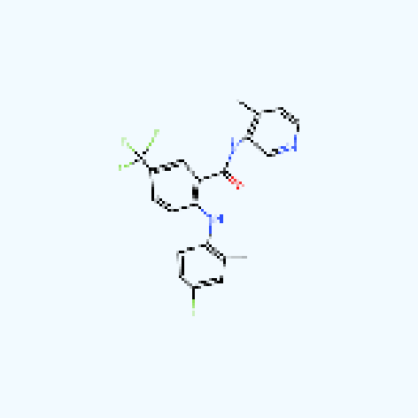 Cc1ccncc1NC(=O)c1cc(C(F)(F)F)ccc1Nc1ccc(F)cc1C